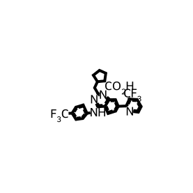 O=C(O)[C@@H]1CCCC1Cc1nc(Nc2ccc(C(F)(F)F)cc2)c2ccc(-c3ncccc3C(F)(F)F)cc2n1